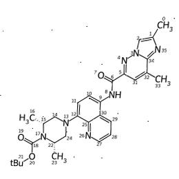 Cc1cn2nc(C(=O)Nc3ccc(N4C[C@@H](C)N(C(=O)OC(C)(C)C)[C@@H](C)C4)c4ncccc34)cc(C)c2n1